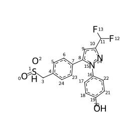 O=[SH](=O)Cc1ccc(-c2cc(C(F)F)nn2-c2ccc(O)cc2)cc1